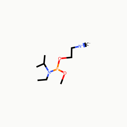 [C-]#[N+]CCOP(OC)N(CC)C(C)C